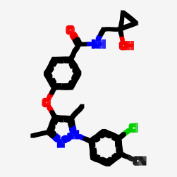 Cc1nn(-c2ccc(C#N)c(Cl)c2)c(C)c1Oc1ccc(C(=O)NCC2(O)CC2)cc1